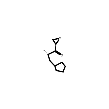 C[C@@H](CC1CCCC1)C(=O)[C@H]1CO1